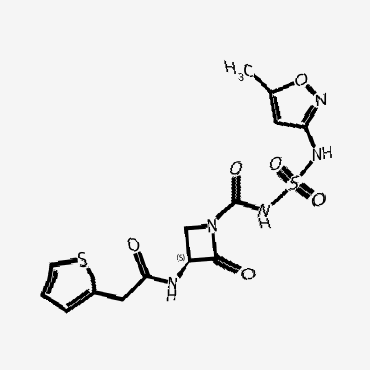 Cc1cc(NS(=O)(=O)NC(=O)N2C[C@H](NC(=O)Cc3cccs3)C2=O)no1